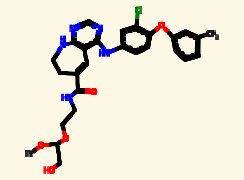 CCOC(CO)OCCNC(=O)C1=Cc2c(ncnc2Nc2ccc(Oc3cccc(C(F)(F)F)c3)c(Cl)c2)NCC1